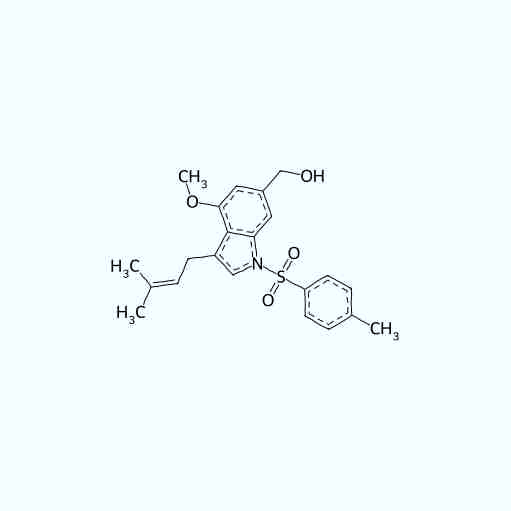 COc1cc(CO)cc2c1c(CC=C(C)C)cn2S(=O)(=O)c1ccc(C)cc1